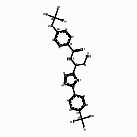 O=C(NC(CO)c1nc(-c2ccc(C(F)(F)F)cc2)no1)c1ccc(OC(F)(F)F)cc1